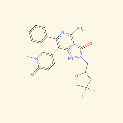 Cn1cc(-c2c(-c3ccccc3)nc(N)[n+]3c(=O)n(CC4CC(F)(F)CO4)[nH]c23)ccc1=O